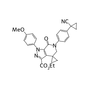 CCOC(=O)c1nn(-c2ccc(OC)cc2)c2c1C1(CC1)CN(c1ccc(C3(C#N)CC3)cc1)C2=O